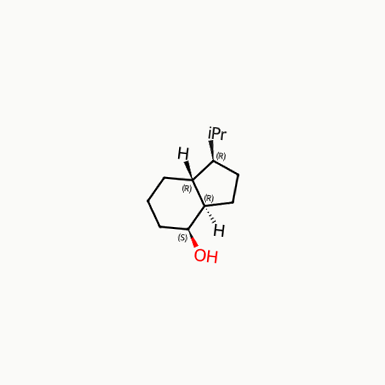 CC(C)[C@H]1CC[C@@H]2[C@@H]1CCC[C@@H]2O